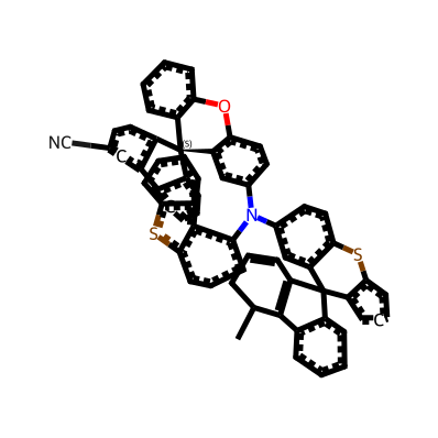 CC1CC=CC2=C1c1ccccc1C21c2ccccc2Sc2ccc(N(c3ccc4c(c3)[C@@]3(c5ccccc5O4)c4ccccc4-c4cc(C#N)ccc43)c3cccc4sc5ccccc5c34)cc21